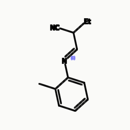 CCC(C#N)/C=N/c1ccccc1C